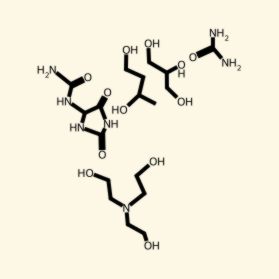 CC(O)CCO.NC(=O)NC1NC(=O)NC1=O.NC(N)=O.OCC(O)CO.OCCN(CCO)CCO